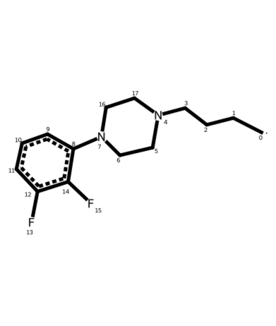 [CH2]CCCN1CCN(c2cccc(F)c2F)CC1